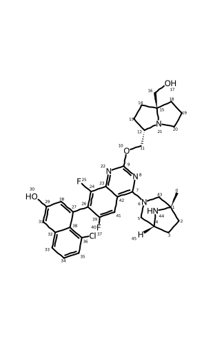 C[C@]12CC[C@H](CN(c3nc(OC[C@@H]4CC[C@]5(CO)CCCN45)nc4c(F)c(-c5cc(O)cc6cccc(Cl)c56)c(F)cc34)C1)N2